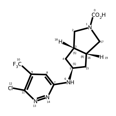 O=C(O)N1C[C@H]2C[C@H](Nc3cc(C(F)(F)F)c(Cl)nn3)C[C@H]2C1